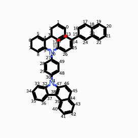 C1=CCC(C2=CCCC=C2N(c2ccc(-c3ccc4ccccc4c3)cc2)c2ccc(-n3c4ccccc4c4c5ccccc5ccc43)cc2)C=C1